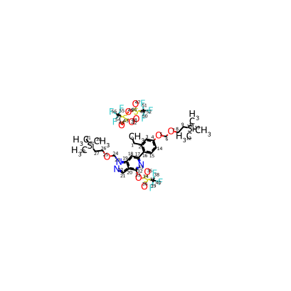 CCc1cc(OCOCC[Si](C)(C)C)ccc1-c1cc2c(cnn2COCC[Si](C)(C)C)c(OS(=O)(=O)C(F)(F)F)n1.O=S(=O)(OS(=O)(=O)C(F)(F)F)C(F)(F)F